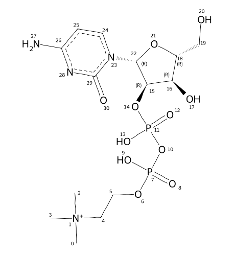 C[N+](C)(C)CCOP(=O)(O)OP(=O)(O)O[C@@H]1[C@H](O)[C@@H](CO)O[C@H]1n1ccc(N)nc1=O